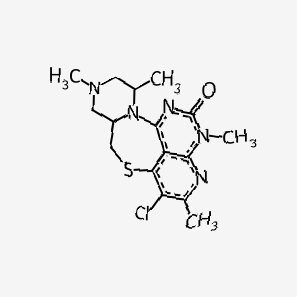 Cc1nc2c3c(nc(=O)n2C)N2C(C)CN(C)CC2CSc3c1Cl